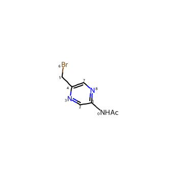 CC(=O)Nc1cnc(CBr)cn1